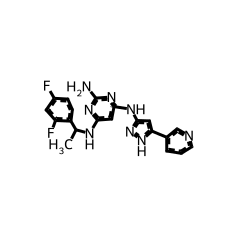 CC(Nc1cc(Nc2cc(-c3cccnc3)[nH]n2)nc(N)n1)c1ccc(F)cc1F